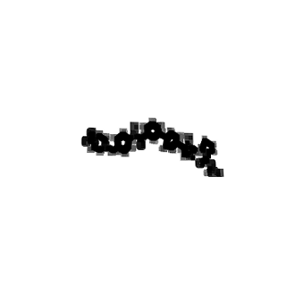 CC(C)(C)OC(=O)N1CCC[C@H]1c1ncc(-c2ccc(-c3cccc(C(=O)Nc4ccc(CN5CCS(=O)(=O)CC5)cc4)c3)cc2)[nH]1